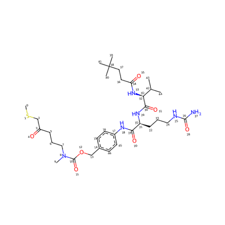 CSCC(=O)CCCN(C)C(=O)OCc1ccc(NC(=O)[C@H](CCCNC(N)=O)NC(=O)[C@@H](NC(=O)CCC(C)(C)C)C(C)C)cc1